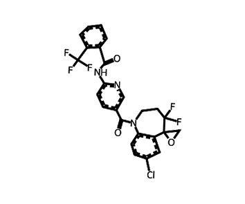 O=C(Nc1ccc(C(=O)N2CCC(F)(F)C3(CO3)c3cc(Cl)ccc32)cn1)c1ccccc1C(F)(F)F